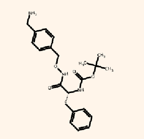 CC(C)(C)OC(=O)N[C@H](Cc1ccccc1)C(=O)NOCc1ccc(CN)cc1